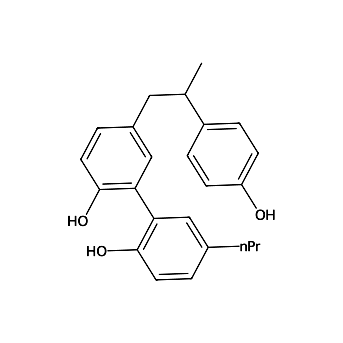 CCCc1ccc(O)c(-c2cc(CC(C)c3ccc(O)cc3)ccc2O)c1